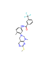 CSc1ncc2c(n1)N(C)CN(c1cc(NC(=O)c3cccc(C(F)(F)F)c3)ccc1C)C2